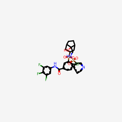 O=C(Nc1cc(F)c(F)c(F)c1)c1ccc(Cl)c(S(=O)(=O)C2CC3CCC(C2)C3(O)CNS(=O)(=O)c2cccnc2)c1